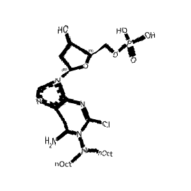 CCCCCCCCN(CCCCCCCC)N1C(Cl)=Nc2c(ncn2[C@H]2CC(O)[C@@H](COP(=O)(O)O)O2)C1N